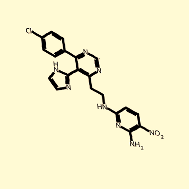 Nc1nc(NCCc2n[c]nc(-c3ccc(Cl)cc3)c2-c2ncc[nH]2)ccc1[N+](=O)[O-]